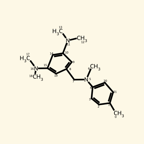 Cc1ccc(N(C)Cc2cc(N(C)C)cc(N(C)C)c2)cc1